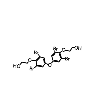 OCCOc1c(Br)cc(Oc2cc(Br)c(OCCO)c(Br)c2)cc1Br